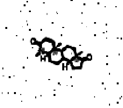 CN1C(=O)C=C[C@]2(C)C3CC[C@]4(C)C(=O)CC[C@H]4C3CC[C@@H]12